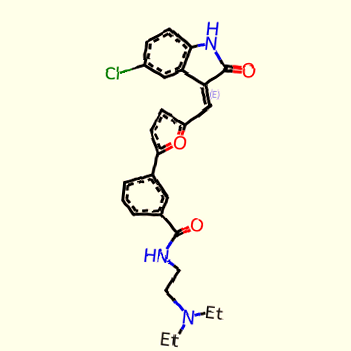 CCN(CC)CCNC(=O)c1cccc(-c2ccc(/C=C3/C(=O)Nc4ccc(Cl)cc43)o2)c1